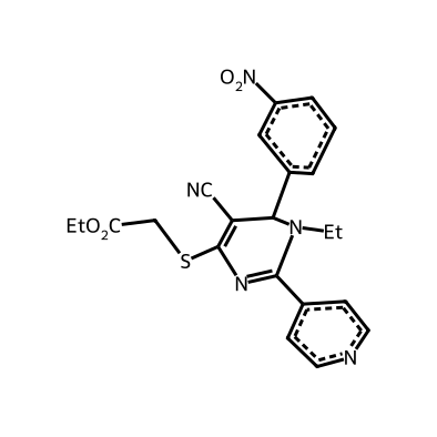 CCOC(=O)CSC1=C(C#N)C(c2cccc([N+](=O)[O-])c2)N(CC)C(c2ccncc2)=N1